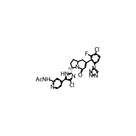 CC(=O)Nc1cc(-c2[nH]c([C@@H]3CCC4CC(c5c(-n6cnnn6)ccc(Cl)c5F)=CC(=O)N43)nc2Cl)ccn1